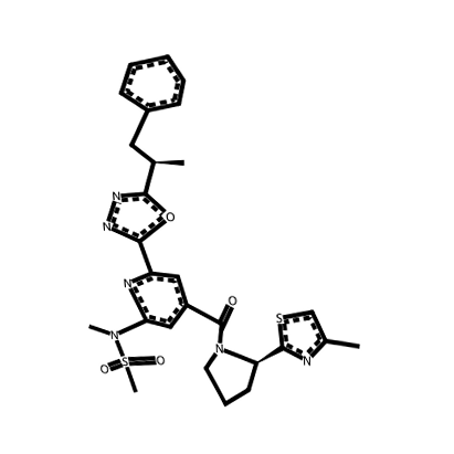 Cc1csc([C@H]2CCCN2C(=O)c2cc(-c3nnc([C@H](C)Cc4ccccc4)o3)nc(N(C)S(C)(=O)=O)c2)n1